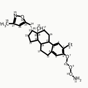 CCc1cc2c(cc1OSOON)CCC1C2CC[C@@]2(C)C1CC[C@@H]2Cc1cc(C)no1